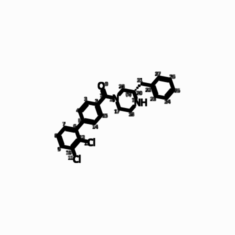 O=C(c1ccc(-c2cccc(Cl)c2Cl)cc1)N1CCN[C@@H](Cc2ccccc2)C1